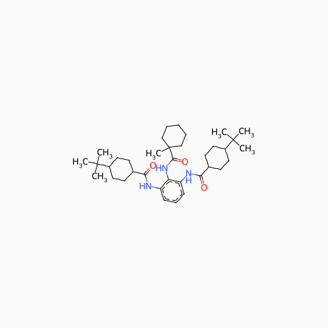 CC1(C(=O)Nc2c(NC(=O)C3CCC(C(C)(C)C)CC3)cccc2NC(=O)C2CCC(C(C)(C)C)CC2)CCCCC1